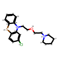 Clc1ccc2c(c1)N(CCOCCN1CCCCC1)c1ccccc1S2